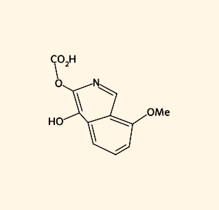 COc1cccc2c(O)c(OC(=O)O)ncc12